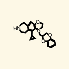 c1ccc2c(c1)OCC(CN1CCOc3cc4c(c(C5CC5)c31)CCNCC4)O2